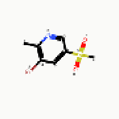 Cc1ncc(S(C)(=O)=O)cc1Br